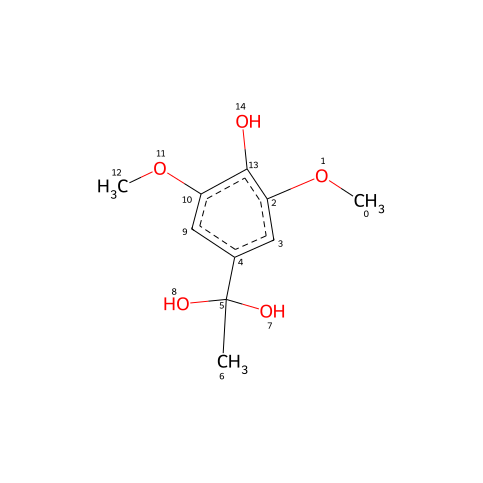 COc1cc(C(C)(O)O)cc(OC)c1O